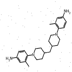 Cc1cc(N)ccc1N1CCC(CC2CCN(c3ccc(N)cc3C)CC2)CC1